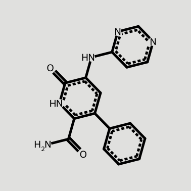 NC(=O)c1[nH]c(=O)c(Nc2ccncn2)cc1-c1ccccc1